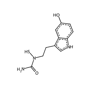 NC(=O)N(S)CCc1c[nH]c2ccc(O)cc12